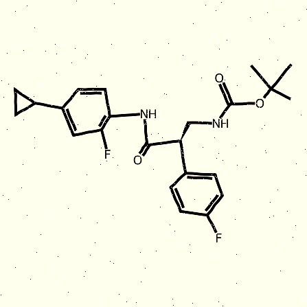 CC(C)(C)OC(=O)NC[C@H](C(=O)Nc1ccc(C2CC2)cc1F)c1ccc(F)cc1